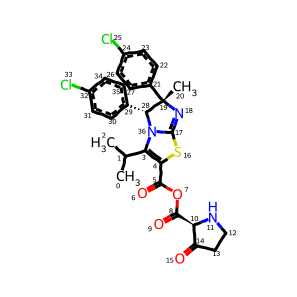 CC(C)C1=C(C(=O)OC(=O)[C@H]2NCCC2=O)SC2=N[C@@](C)(c3ccc(Cl)cc3)[C@@H](c3ccc(Cl)cc3)N21